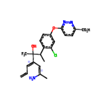 C=C/C=C(\C=C(\C)N)C(O)(C(C)c1ccc(Oc2ccc(C(=O)O)nn2)cc1Cl)C(F)(F)F